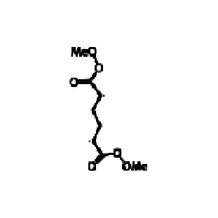 COOC(=O)[CH]CC[CH]C(=O)OOC